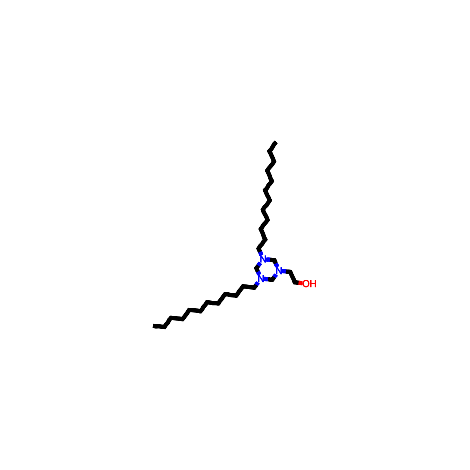 CCCCCCCCCCCCN1CN(CCO)CN(CCCCCCCCCCCC)C1